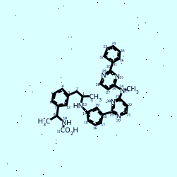 CC(Cc1cccc(C(C)NC(=O)O)c1)Nc1cccc(-c2nccc(N(C)c3ccnc(-c4ccccc4)n3)n2)c1